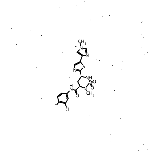 CN1[C@@H](C(=O)Nc2ccc(F)c(Cl)c2)C[C@@H](c2ncc(-c3cn(C)cn3)s2)NS1(=O)=O